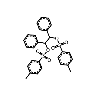 Cc1ccc(S(=O)(=O)OC(c2ccccc2)C(OS(=O)(=O)c2ccc(C)cc2)c2ccccc2)cc1